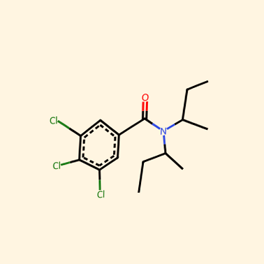 CCC(C)N(C(=O)c1cc(Cl)c(Cl)c(Cl)c1)C(C)CC